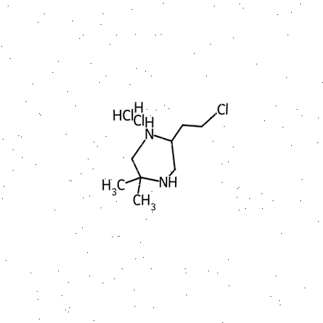 CC1(C)CNC(CCCl)CN1.Cl.Cl